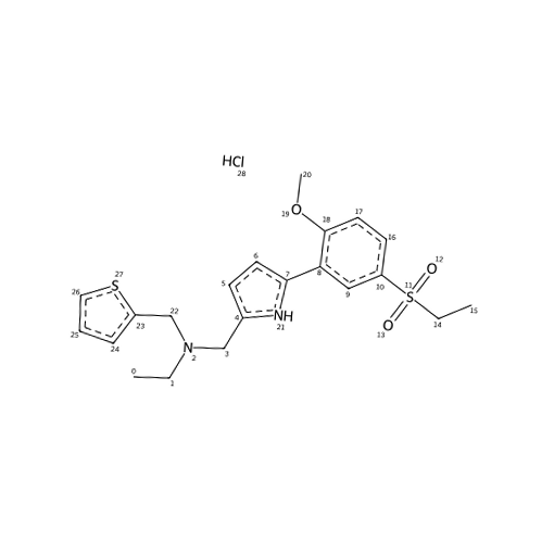 CCN(Cc1ccc(-c2cc(S(=O)(=O)CC)ccc2OC)[nH]1)Cc1cccs1.Cl